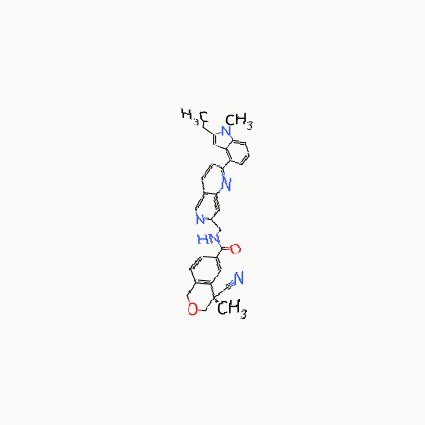 CCc1cc2c(-c3ccc4cnc(CNC(=O)c5ccc6c(c5)[C@](C)(C#N)COC6)cc4n3)cccc2n1C